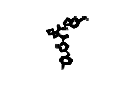 Nc1ccc2c(n1)CC[C@H]2NC(=O)C1N(C(=O)[C@H]2C[C@H](Cc3ccc(F)cc3)CN2)CC12CCC2